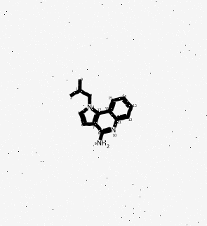 CC(C)Cn1ccc2c(N)nc3ccccc3c21